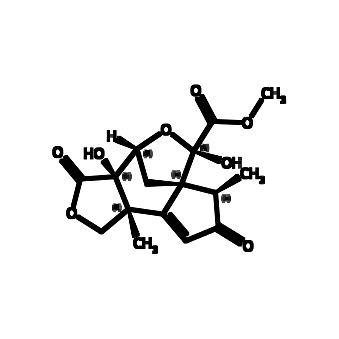 COC(=O)[C@@]1(O)O[C@@H]2C[C@@]13C(=CC(=O)[C@@H]3C)[C@]1(C)COC(=O)[C@]21O